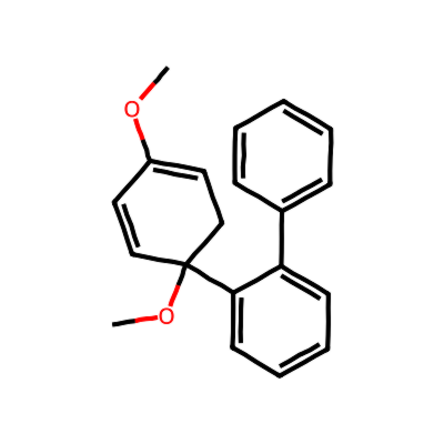 COC1=CCC(OC)(c2ccccc2-c2ccccc2)C=C1